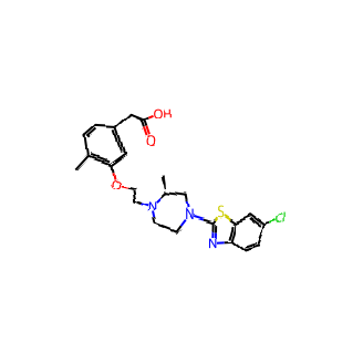 Cc1ccc(CC(=O)O)cc1OCCN1CCN(c2nc3ccc(Cl)cc3s2)C[C@@H]1C